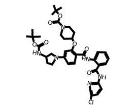 CC(C)(C)OC(=O)NC1CCN(c2ccc(C(=O)Nc3ccccc3C(=O)Nc3ccc(Cl)cn3)c(OC3CCN(C(=O)OC(C)(C)C)CC3)c2)C1